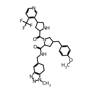 COc1ccc(CC2CC(C(=O)NCC3=Cc4nnn(C)c4CC3)N(C(=O)C3CC(c4cnccc4C(F)(F)F)CN3)C2)cc1